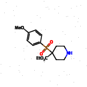 CCOC(=O)C1(S(=O)(=O)c2ccc(OC)cc2)CCNCC1